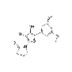 COc1cc(OC)cc(-c2oc(N3CCCC3=O)c(O)c2O)c1